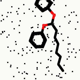 CCCCCCC[Si](Oc1ccccc1)Oc1ccccc1